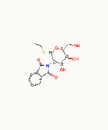 CCS[C@@H]1O[C@H](CO)[C@@H](O)[C@H](O)[C@@H]1N1C(=O)c2ccccc2C1=O